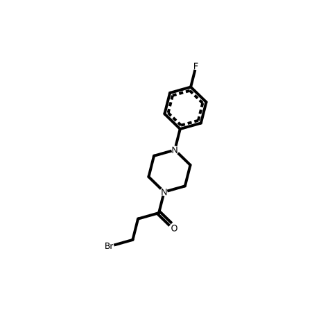 O=C(CCBr)N1CCN(c2ccc(F)cc2)CC1